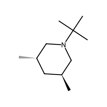 C[C@H]1C[C@H](C)CN(C(C)(C)C)C1